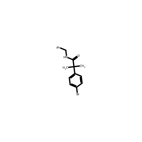 CC(C)CNC(=O)C(C)(C)c1ccc(Br)cc1